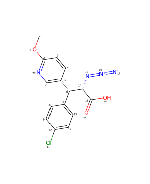 COc1ccc([C@@H](c2ccc(Cl)cc2)[C@H](N=[N+]=[N-])C(=O)O)cn1